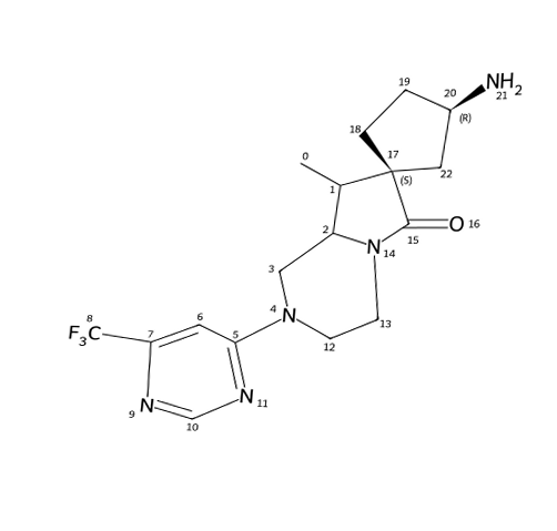 CC1C2CN(c3cc(C(F)(F)F)ncn3)CCN2C(=O)[C@]12CC[C@@H](N)C2